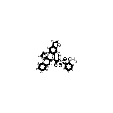 Cc1ccccc1S(=O)(=O)NC(=O)N[C@@H](Cc1ccccc1)c1nccn1-c1ccc2c(c1)CCO2